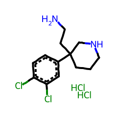 Cl.Cl.NCCC1(c2ccc(Cl)c(Cl)c2)CCCNC1